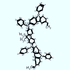 C=CC1=Cc2c(n(-c3ccccc3)c3ccc(N(c4ccccc4)c4ccc5c(c4)C(C)(C)c4cc(N(C6=Cc7c(n(-c8ccccc8)c8ccc(C=C)cc78)CC6)C6C=CC=CC6)ccc4-5)cc23)CC1